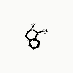 CC(=O)N1CCc2ccccc2C1C